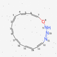 C1=CC=CC=CC=CONN=NC=CC=CC=C1